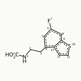 O=C(O)NCCc1cc(F)cc2sccc12